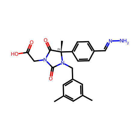 Cc1cc(C)cc(CN2C(=O)N(CC(=O)O)C(=O)[C@]2(C)c2ccc(C=NN)cc2)c1